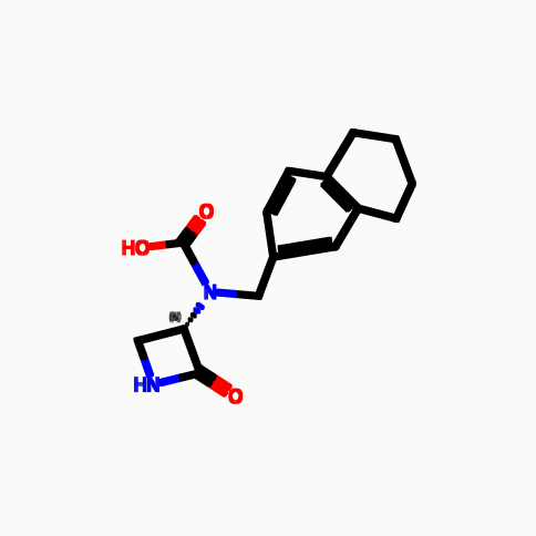 O=C1NC[C@@H]1N(Cc1ccc2c(c1)CCCC2)C(=O)O